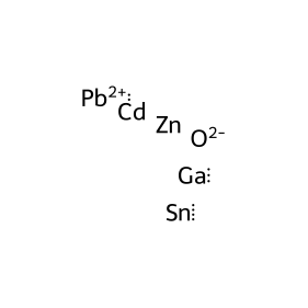 [Cd].[Ga].[O-2].[Pb+2].[Sn].[Zn]